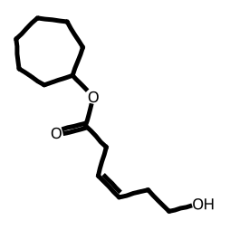 O=C(C/C=C\CCO)OC1CCCCCC1